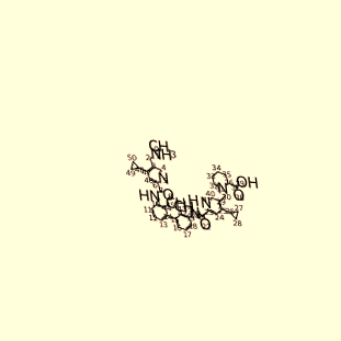 CNCc1cnc(C(=O)Nc2cccc(-c3cccc(NC(=O)c4cc(C5CC5)c(CN5CCCC[C@H]5C(=O)O)cn4)c3C)c2C)cc1C1CC1